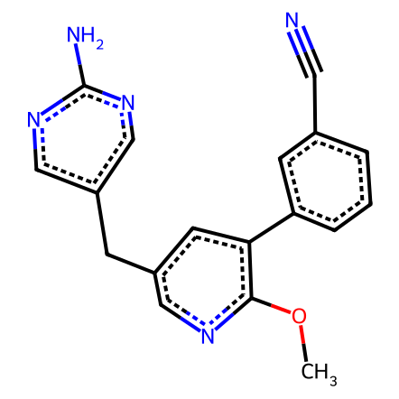 COc1ncc(Cc2cnc(N)nc2)cc1-c1cccc(C#N)c1